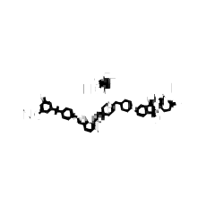 CC(C)(c1ccc(OCc2ccnc(N3CC4(CCN(CC5CCN(c6ccc7c(c6)C(=O)N(C6CCC(=O)NC6=O)C7=O)CC5)CC4)C3)n2)cc1)c1cc(Cl)cc(C#N)c1.O=C(O)C(F)(F)F